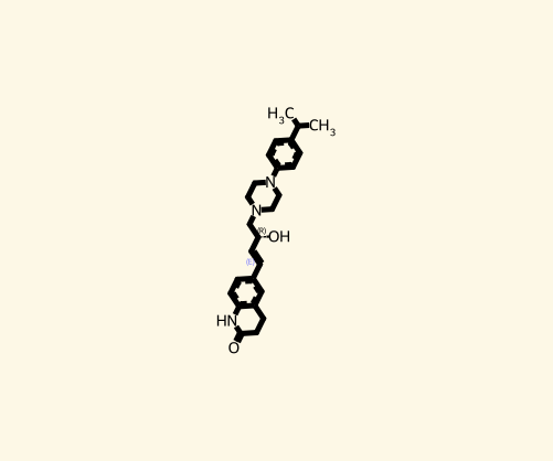 CC(C)c1ccc(N2CCN(C[C@H](O)/C=C/c3ccc4c(c3)CCC(=O)N4)CC2)cc1